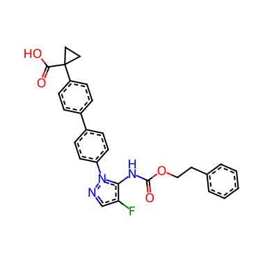 O=C(Nc1c(F)cnn1-c1ccc(-c2ccc(C3(C(=O)O)CC3)cc2)cc1)OCCc1ccccc1